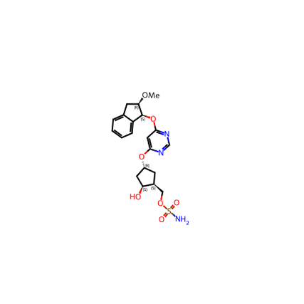 CO[C@@H]1Cc2ccccc2[C@@H]1Oc1cc(O[C@@H]2C[C@@H](COS(N)(=O)=O)[C@@H](O)C2)ncn1